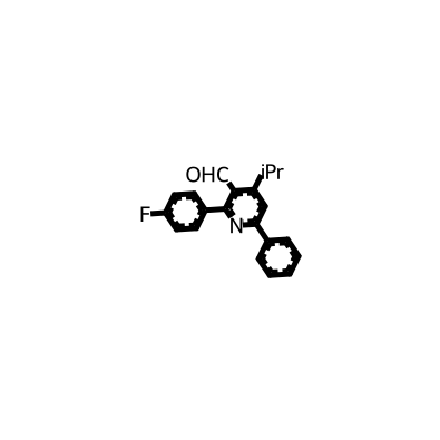 CC(C)c1cc(-c2ccccc2)nc(-c2ccc(F)cc2)c1C=O